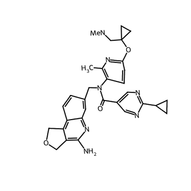 CNCC1(Oc2ccc(N(Cc3ccc4c5c(c(N)nc4c3)COC5)C(=O)c3cnc(C4CC4)nc3)c(C)n2)CC1